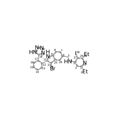 CCc1cc(NCc2ccc3[nH]c(-c4ccccc4-c4nnn[nH]4)c(Br)c3c2)c(I)c(CC)n1